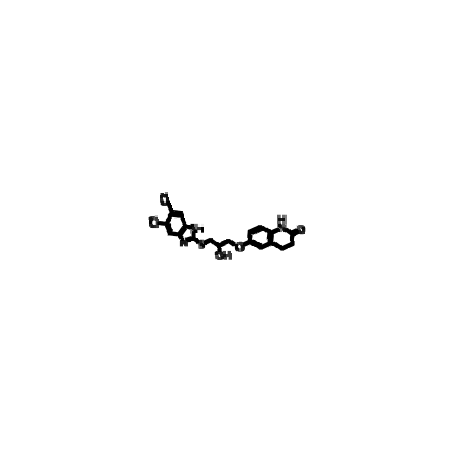 O=C1CCc2cc(OCC(O)CSc3nc4cc(Cl)c(Cl)cc4[nH]3)ccc2N1